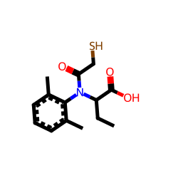 CCC(C(=O)O)N(C(=O)CS)c1c(C)cccc1C